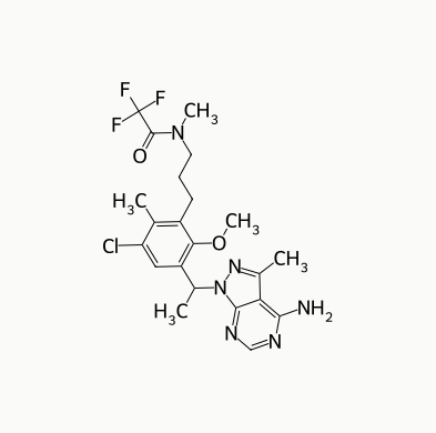 COc1c(C(C)n2nc(C)c3c(N)ncnc32)cc(Cl)c(C)c1CCCN(C)C(=O)C(F)(F)F